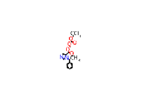 C[C@H](c1ccccc1)n1cncc1C(=O)OCOC(=O)OCC(Cl)(Cl)Cl